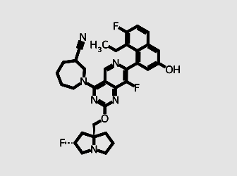 CCc1c(F)ccc2cc(O)cc(-c3ncc4c(N5CCCCC(C#N)C5)nc(OC[C@@]56CCCN5C[C@H](F)C6)nc4c3F)c12